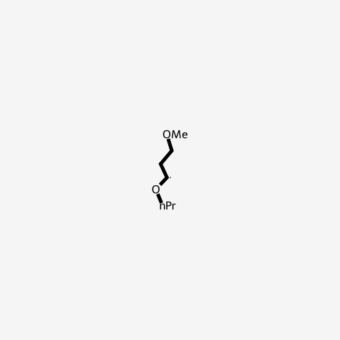 CCCO[CH]CCOC